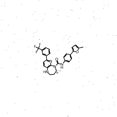 Cc1ccc(-c2ccc(NC(=O)N3c4nc(-c5cccc(C(F)(F)F)c5)ccc4NCC[C@H]3C)cc2)o1